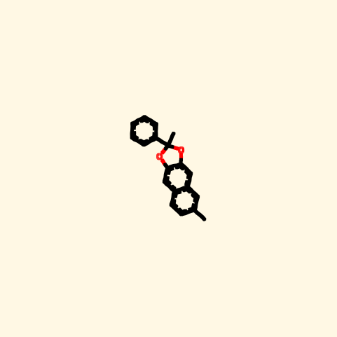 Cc1ccc2cc3c(cc2c1)OC(C)(c1ccccc1)O3